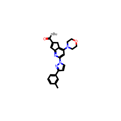 CCCCC(=O)C1=Cc2nc(-n3ccc(-c4cccc(C)c4)n3)cc(N3CCOCC3)c2C1